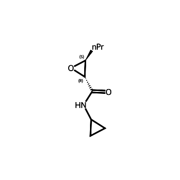 CCC[C@@H]1O[C@H]1C(=O)NC1CC1